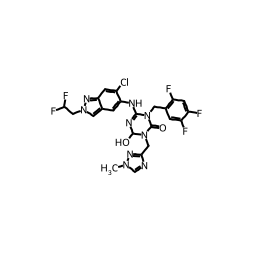 Cn1cnc(CN2C(=O)N(Cc3cc(F)c(F)cc3F)C(Nc3cc4cn(CC(F)F)nc4cc3Cl)=NC2O)n1